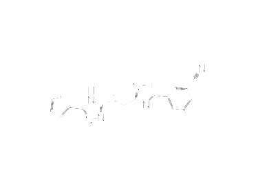 N#Cc1cc(F)cc(-c2nc(CSc3nnc(-c4ccco4)[nH]3)no2)c1